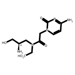 Nc1ccn(CC(=O)N(CC(=O)O)C[C@@H](N)CO)c(=O)n1